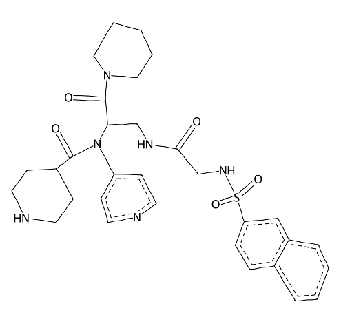 O=C(CNS(=O)(=O)c1ccc2ccccc2c1)NCC(C(=O)N1CCCCC1)N(C(=O)C1CCNCC1)c1ccncc1